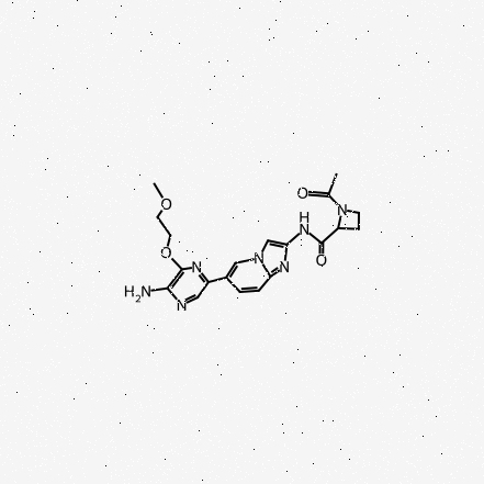 COCCOc1nc(-c2ccc3nc(NC(=O)C4CCN4C(C)=O)cn3c2)cnc1N